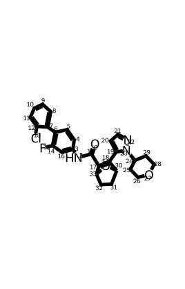 O=C(Nc1ccc(-c2ccccc2Cl)c(F)c1)C1=C(c2ccnn2C2CCOCC2)C2CCC1O2